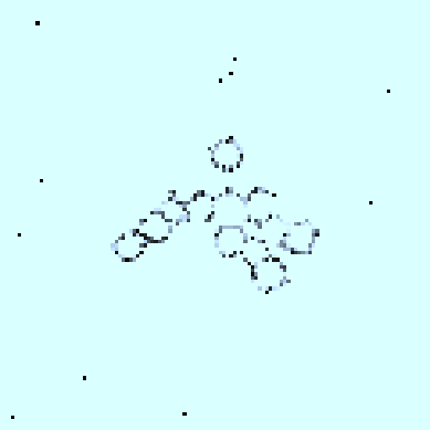 c1ccc(N(c2ccc3c(c2)C2(c4ccccc4-c4ccccc42)c2ccccc2-3)c2ccc3c(c2)oc2cc4ccccc4cc23)cc1